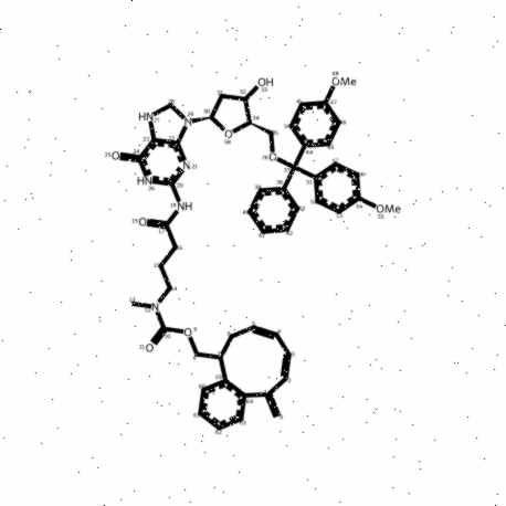 C=C1/C=C\C=C/CC(COC(=O)N(C)CCCC(=O)Nc2nc3c(c(=O)[nH]2)NCN3[C@H]2CC(O)[C@@H](COC(c3ccccc3)(c3ccc(OC)cc3)c3ccc(OC)cc3)O2)c2ccccc21